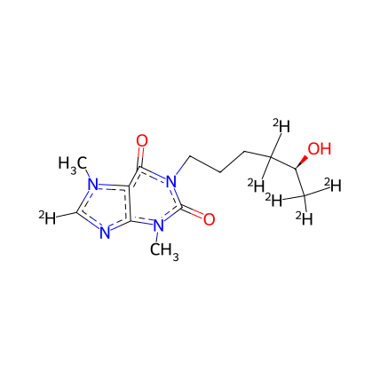 [2H]c1nc2c(c(=O)n(CCCC([2H])([2H])[C@@H](O)C([2H])([2H])[2H])c(=O)n2C)n1C